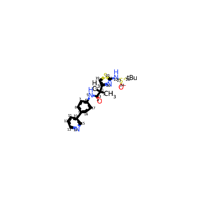 CC(C)(C(=O)Nc1ccc(-c2cccnc2)cc1)c1csc(N[S+]([O-])C(C)(C)C)n1